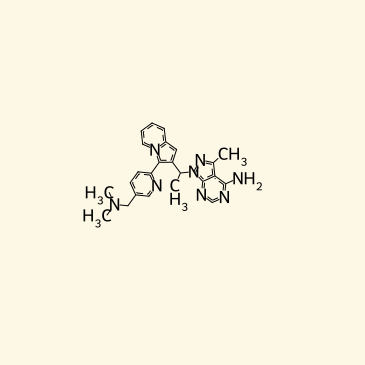 Cc1nn(C(C)c2cc3ccccn3c2-c2ccc(CN(C)C)cn2)c2ncnc(N)c12